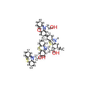 CC(=O)c1ccc2c(c1)N(C)c1ccccc1S2.OCCCN1c2ccccc2Sc2ccccc21.OCCN1c2ccccc2Oc2ccccc21.OCCN1c2ccccc2Sc2ccccc21